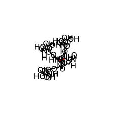 CC(=O)NCc1ccc(CC(C(=O)NCCOCCOC2OC(CO)C(O)C(O)C2NC(C)=O)N(CC(=O)NCCOCCOC2OC(CO)C(O)C(O)C2NC(C)=O)CC(=O)NCCOCCOC2OC(CO)C(O)C(O)C2NC(C)=O)cc1